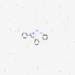 Cl.NC(=Nc1nc(-c2ccccc2)cc(-c2ccccc2)n1)NCc1ccc(O)cc1